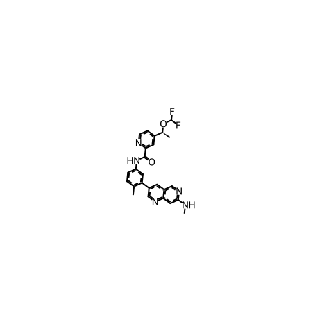 CNc1cc2ncc(-c3cc(NC(=O)c4cc([C@H](C)OC(F)F)ccn4)ccc3C)cc2cn1